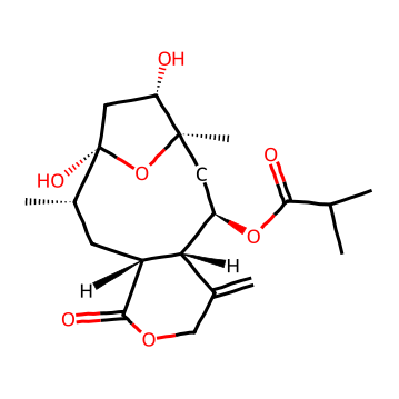 C=C1COC(=O)[C@@H]2C[C@H](C)[C@@]3(O)C[C@H](O)[C@@](C)(C[C@@H](OC(=O)C(C)C)[C@H]12)O3